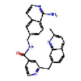 Cc1ccc2ccc(Cc3cc(C(=O)NCc4ccc5c(N)nccc5c4)ccn3)cc2n1